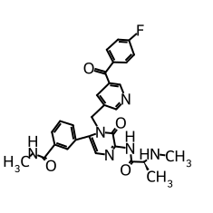 CNC(=O)c1cccc(-c2cnc(NC(=O)[C@H](C)NC)c(=O)n2Cc2cncc(C(=O)c3ccc(F)cc3)c2)c1